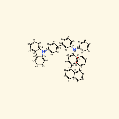 c1ccc(-c2cccc3cccc(-c4ccc(N(c5ccccc5)c5cccc(-c6ccc(-n7c8ccccc8c8ccccc87)cc6)c5)cc4)c23)cc1